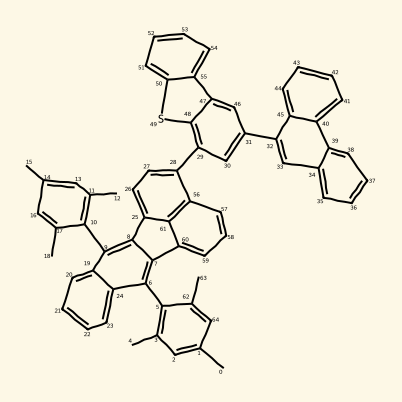 Cc1cc(C)c(-c2c3c(c(-c4c(C)cc(C)cc4C)c4ccccc24)-c2ccc(-c4cc(-c5cc6ccccc6c6ccccc56)cc5c4sc4ccccc45)c4cccc-3c24)c(C)c1